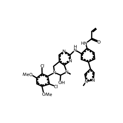 C=CC(=O)Nc1ccc(-c2cnn(C)c2)cc1Nc1ncc2c(n1)N(C)C(O)N(c1c(Cl)c(OC)cc(OC)c1Cl)C2